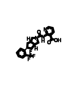 O=C(O)c1cccnc1NC(=O)N1C[C@H]2C[C@H](c3ccccc3C(F)(F)F)C[C@H]2C1